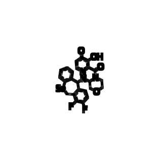 O=C1c2c(O)c(=O)ccn2N(C2c3ccccc3[Se]Cc3c2ccc(F)c3F)C2COCCN12